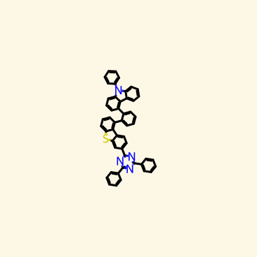 c1ccc(-c2nc(-c3ccccc3)nc(-c3ccc4c(c3)sc3cccc(-c5ccccc5-c5cccc6c5c5ccccc5n6-c5ccccc5)c34)n2)cc1